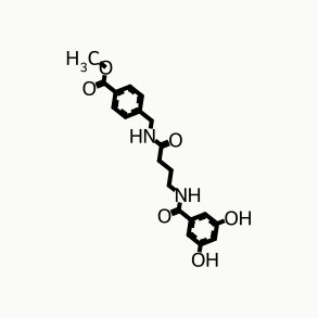 COC(=O)c1ccc(CNC(=O)CCCNC(=O)c2cc(O)cc(O)c2)cc1